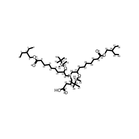 CCC(CC)COC(=O)CCCCCCC(CN(CCCC(=O)O)CC(CCCCCCC(=O)OCC(CC)CC)O[Si](C)(C)C(C)(C)C)O[Si](C)(C)C(C)(C)C